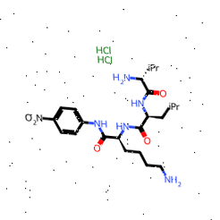 CC(C)C[C@H](NC(=O)[C@H](N)C(C)C)C(=O)N[C@@H](CCCCN)C(=O)Nc1ccc([N+](=O)[O-])cc1.Cl.Cl